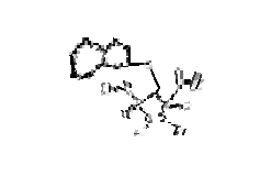 CCOP(=O)(OCC)C(Sc1ccc2ccccc2c1)P(=O)(OCC)OCC